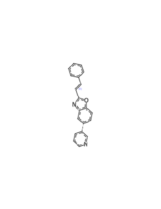 C(=C\c1nc2cc(-c3cccnc3)ccc2o1)/c1ccccc1